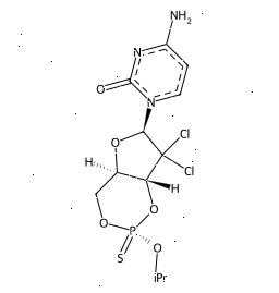 CC(C)O[P@]1(=S)OC[C@H]2O[C@@H](n3ccc(N)nc3=O)C(Cl)(Cl)[C@@H]2O1